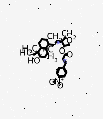 C=C1OCC(OC(=O)/C=C/c2ccc([N+](=O)[O-])cc2)/C1=C\CC1C(=C)CCC2[C@@]1(C)CC[C@@H](O)[C@@]2(C)CO